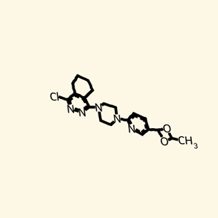 CC1OC(c2ccc(N3CCN(c4nnc(Cl)c5c4CCCC5)CC3)nc2)O1